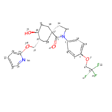 O=C1N(c2ccc(OCC(F)(F)F)cc2)CC[C@]12CC[C@H](O)[C@@H](COc1ccccn1)C2